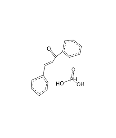 O=C(C=Cc1ccccc1)c1ccccc1.O=[PH](O)O